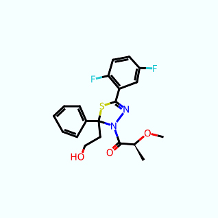 CO[C@@H](C)C(=O)N1N=C(c2cc(F)ccc2F)SC1(CCO)c1ccccc1